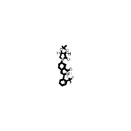 CC1(C)O[C@@H]2CN(c3ccc4cc(-c5ccccc5C(F)(F)F)[nH]c(=O)c4c3)C(=O)[C@@H]2O1